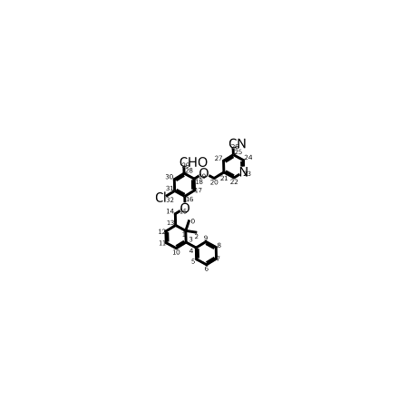 CC1(C)C(c2ccccc2)=CC=CC1COc1cc(OCc2cncc(C#N)c2)c(C=O)cc1Cl